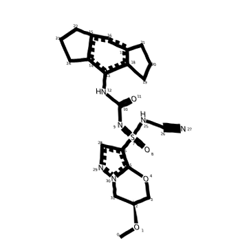 CO[C@@H]1COc2c(S(=O)(=NC(=O)Nc3c4c(cc5c3CCC5)CCC4)NC#N)cnn2C1